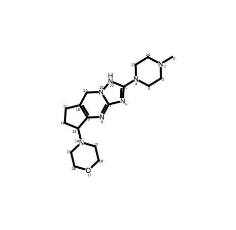 CN1CCN(C2=NC3=NC4=C(CCC4N4CCOCC4)CN3N2)CC1